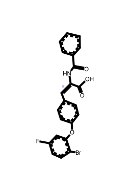 O=C(O)/C(=C\c1ccc(Oc2cc(F)ccc2Br)cc1)NC(=O)c1ccccc1